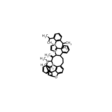 C=C1C2N(C)c3cccc4c3N2c2c(ccc3oc5cccc(c5c23)C4(C)C)CCC2c3ccccc3-c3n(-c4c(C(C)C)cccc4C(C)C)cc[n+]3C12